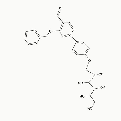 O=Cc1ccc(-c2ccc(OCC(O)C(O)C(O)C(O)CO)cc2)cc1OCc1ccccc1